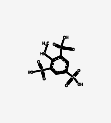 CNc1c(S(=O)(=O)O)cc(S(=O)(=O)O)cc1S(=O)(=O)O